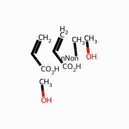 C=CC(=O)O.C=CC(=O)O.CCCCCCCCCC.CO.CO